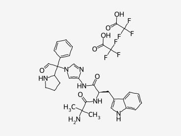 CC(C)(N)C(=O)N[C@H](Cc1c[nH]c2ccccc12)C(=O)Nc1cn(C(C=O)(c2ccccc2)C2CCCN2)cn1.O=C(O)C(F)(F)F.O=C(O)C(F)(F)F